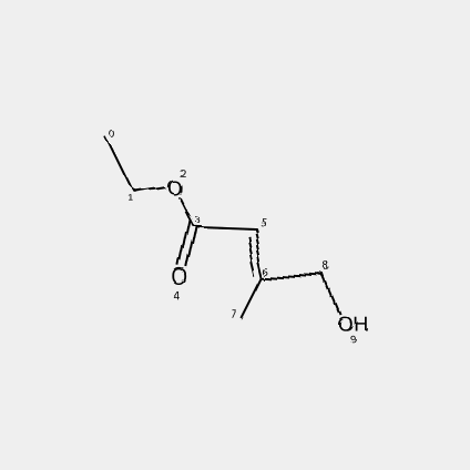 CCOC(=O)/C=C(\C)CO